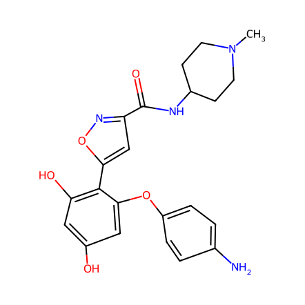 CN1CCC(NC(=O)c2cc(-c3c(O)cc(O)cc3Oc3ccc(N)cc3)on2)CC1